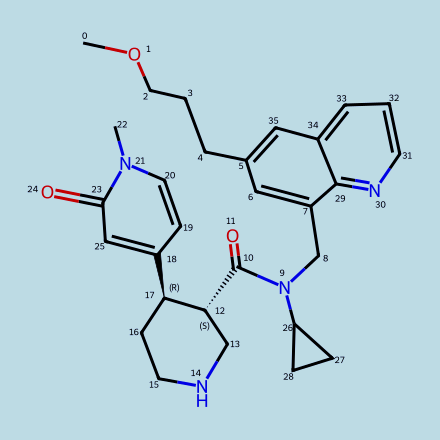 COCCCc1cc(CN(C(=O)[C@@H]2CNCC[C@H]2c2ccn(C)c(=O)c2)C2CC2)c2ncccc2c1